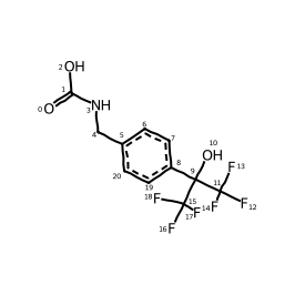 O=C(O)NCc1ccc(C(O)(C(F)(F)F)C(F)(F)F)cc1